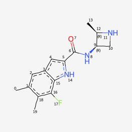 Cc1cc2cc(C(=O)N[C@@H]3CN[C@@H]3C)[nH]c2c(F)c1C